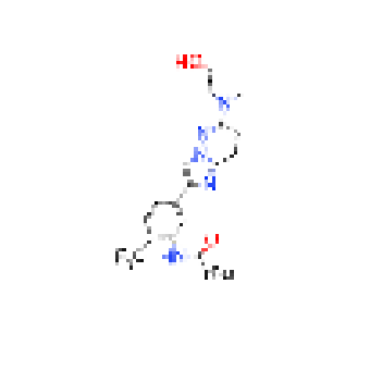 CN(CCO)c1ccc2nc(-c3ccc(C(F)(F)F)c(NC(=O)C(C)(C)C)c3)cn2n1